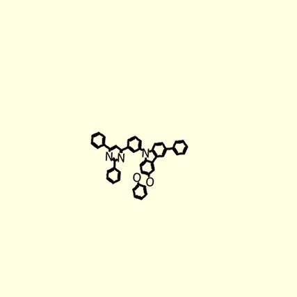 c1ccc(-c2ccc3c(c2)c2cc4c(cc2n3-c2cccc(-c3cc(-c5ccccc5)nc(-c5ccccc5)n3)c2)Oc2ccccc2O4)cc1